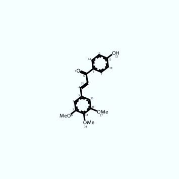 COc1cc(/C=C/C(=O)c2ccc(O)cc2)cc(OC)c1OC